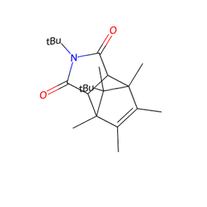 CC1=C(C)C2(C)C3C(=O)N(C(C)(C)C)C(=O)C3C1(C)C2(C)C(C)(C)C